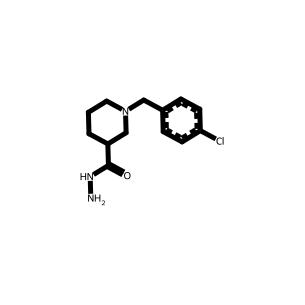 NNC(=O)C1CCCN(Cc2ccc(Cl)cc2)C1